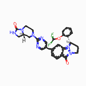 O=C1NC[C@H]2CN(c3ncc(-c4ccc5c(=O)n6n(c5c4)[C@H](c4ccccc4OC(F)F)CC6)cn3)CCN12